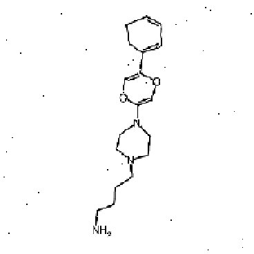 NCCCCN1CCN(C2=COC(C3=CC=CCC3)=CO2)CC1